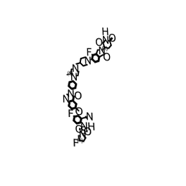 C[C@H]1CN(CC2CCN(c3ccc4c(c3F)CN([C@@H]3CCC(=O)NC3=O)C4=O)CC2)CCN1c1ccc(-n2cnc3ccc(Oc4c(F)ccc(NS(=O)(=O)N5CC[C@@H](F)C5)c4C#N)cc3c2=O)cc1